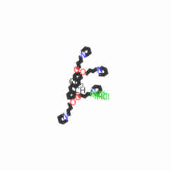 C[C@H](Cc1ccc(OCCCCN2CCCCC2)c(OCCCCN2CCCCC2)c1)[C@@H](C)Cc1ccc(OCCCCN2CCCCC2)c(OCCCCN2CCCCC2)c1.Cl.Cl.Cl.Cl